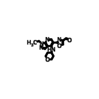 CCn1ncc2c(NC3CCOCC3)c(-c3nc(C=O)co3)cnc21